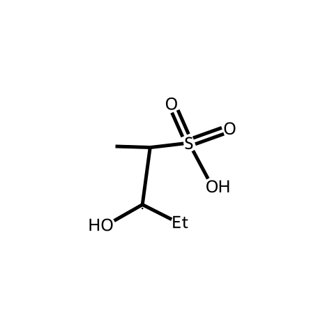 CC[C](O)C(C)S(=O)(=O)O